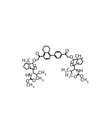 COC(=O)N[C@H](C(=O)N1CCC[C@@]1(C)C(=O)OCC(=O)c1ccc(-c2ccc(C(=O)COC(=O)[C@]3(C)CCCN3C(=O)[C@@H](NC(=O)OC)C(C)C)c3c2CCCC3)cc1)C(C)C